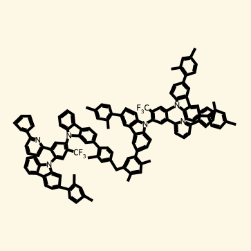 Cc1ccc(-c2ccc3c(c2)c2cc(-c4ccc(C)cc4C)ccc2n3-c2cc(C(F)(F)F)c(-n3c4ccc(-c5ccc(C)cc5C)cc4c4cc(-c5cc(Cc6ccc(-c7ccc8c9ccccc9n(-c9cc(-c%10cccc(-c%11ccccc%11)n%10)c(-n%10c%11ccccc%11c%11ccc(-c%12ccc(C)cc%12C)cc%11%10)cc9C(F)(F)F)c8c7)c(C)c6)c(C)cc5C)ccc43)cc2-c2cccc(-c3ccccc3)n2)c(C)c1